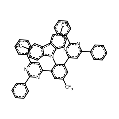 N#Cc1ccc2c(c1)c1cc(C#N)ccc1n2-c1c(-c2cc(-c3ccccc3)nc(-c3ccccc3)n2)cc(C(F)(F)F)cc1-c1cc(-c2ccccc2)nc(-c2ccccc2)n1